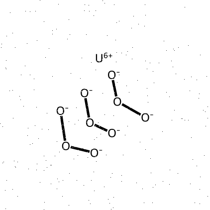 [O-]O[O-].[O-]O[O-].[O-]O[O-].[U+6]